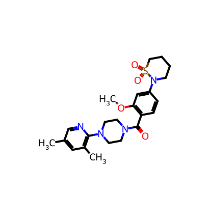 COc1cc(N2CCCCS2(=O)=O)ccc1C(=O)N1CCN(c2ncc(C)cc2C)CC1